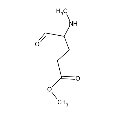 CNC(C=O)CCC(=O)OC